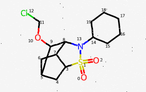 O=S1(=O)C2CC3CC2C(C3OCCl)N1C1CCCCC1